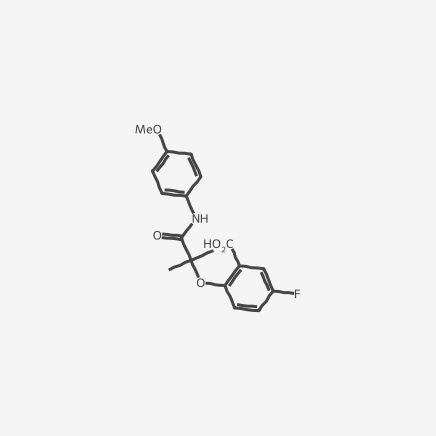 COc1ccc(NC(=O)C(C)(C)Oc2ccc(F)cc2C(=O)O)cc1